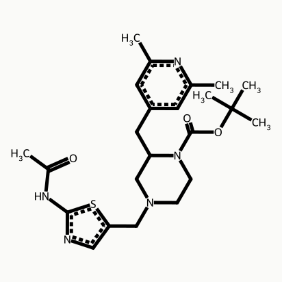 CC(=O)Nc1ncc(CN2CCN(C(=O)OC(C)(C)C)C(Cc3cc(C)nc(C)c3)C2)s1